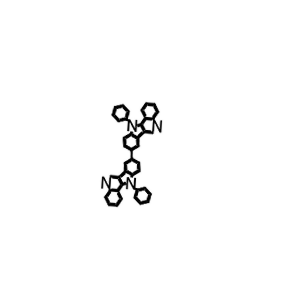 c1ccc(-n2c3ccc(-c4ccc5c(c4)c4cnc6ccccc6c4n5-c4ccccc4)cc3c3cnc4ccccc4c32)cc1